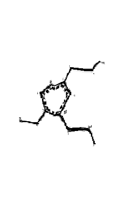 C[CH]c1ccc(CCC)cc1CCC